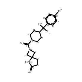 O=C1CCC2(CN(C(=O)N3CCC(C(F)(F)c4ccc(F)cc4)CC3)C2)N1